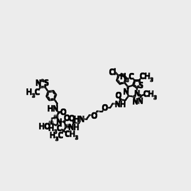 Cc1ncsc1-c1ccc(CNC(=O)[C@@H]2C[C@@H](O)CN2C(=O)[C@@H](NC(=O)CNCCOCCOCCNC(=O)CC2N=C(c3ccc(Cl)cc3)c3c(sc(C)c3C)-n3c(C)nnc32)C(C)(C)C)cc1